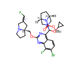 CC(C)(C)OC(=O)N1[C@@H]2CC[C@H]1CN(C(OC1CC1)c1nc(OC[C@@]34CCCN3C/C(=C\F)C4)nc3c(F)c(Br)ccc13)C2